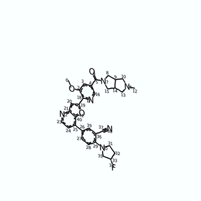 COc1cc(C(=O)N2CC3CN(C)CC3C2)cnc1-c1cc2nccc(-c3ccc(N4CC[C@@H](F)C4)c(C#N)c3)c2o1